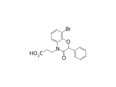 O=C(O)CCN1C(=O)C(c2ccccc2)Oc2c(Br)cccc21